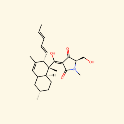 C/C=C/C=C/[C@H]1C(C)=CC2C[C@@H](C)CC[C@@H]2[C@@]1(C)/C(O)=C1/C(=O)[C@@H](CO)N(C)C1=O